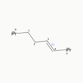 [CH2]C(C)CC/C=C/C(C)C